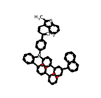 C=C(/C=C\c1c(C)sc2ccccc12)c1ccc(N(c2ccc(-c3cccc(-c4cccc5ccccc45)c3)cc2)c2ccccc2-c2ccc(-c3ccccc3)cc2)cc1